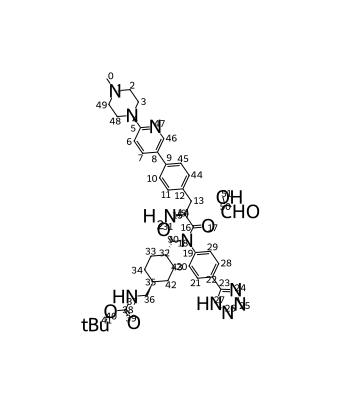 CN1CCN(c2ccc(-c3ccc(C[C@H](N)C(=O)N(c4ccc(-c5nnn[nH]5)cc4)C(=O)[C@H]4CC[C@H](CNC(=O)OC(C)(C)C)CC4)cc3)cn2)CC1.O=CO